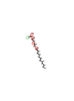 CCCCCCCCCCCCOCCOCCOC(=O)Cl